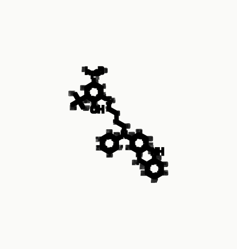 B#P(I)c1cc(SCCCCN(c2ccccc2)c2ccc3c(c2)Cc2ccccc2N3)c(O)c(C(C)(C)C)c1